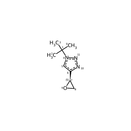 CC(C)(C)n1cc([C@H]2CO2)nn1